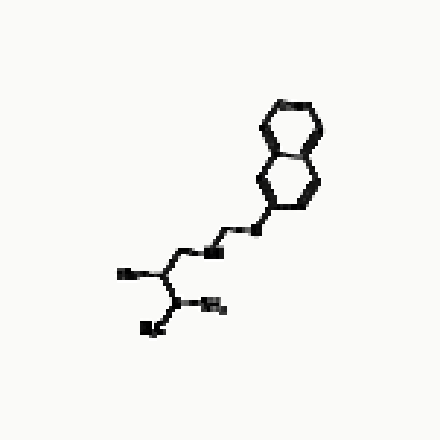 CN(N)C(CNCOc1ccc2ccccc2c1)C(C)(C)C